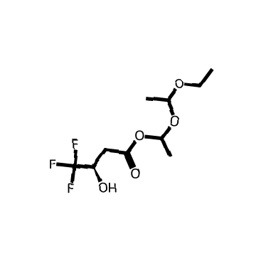 CCOC(C)OC(C)OC(=O)C[C@@H](O)C(F)(F)F